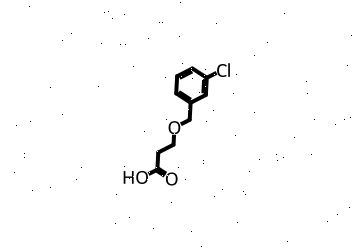 O=C(O)CCOCc1cccc(Cl)c1